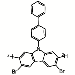 [2H]c1cc2c(cc1Br)c1cc(Br)c([2H])cc1n2-c1ccc(-c2ccccc2)cc1